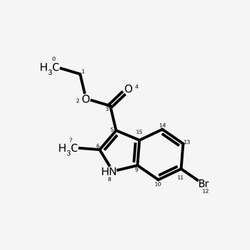 CCOC(=O)c1c(C)[nH]c2cc(Br)ccc12